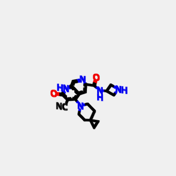 N#Cc1c(N2CCC3(CC2)CC3)c2cc(C(=O)NC3CNC3)ncc2[nH]c1=O